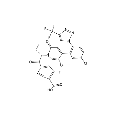 CC[C@@H](C(=O)c1ccc(C(=O)O)c(F)c1)n1cc(OC)c(-c2cc(Cl)ccc2-n2cc(C(F)(F)F)nn2)cc1=O